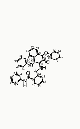 O=C(Nc1cnccn1)c1ccccc1CNC1=C(Cl)C(Oc2ccccc2)c2ccccc2C1Oc1ccccc1